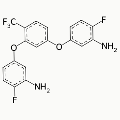 Nc1cc(Oc2ccc(C(F)(F)F)c(Oc3ccc(F)c(N)c3)c2)ccc1F